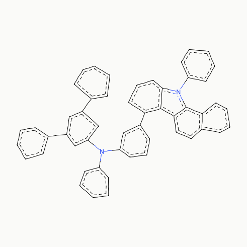 c1ccc(-c2cc(-c3ccccc3)cc(N(c3ccccc3)c3cccc(-c4cccc5c4c4ccc6ccccc6c4n5-c4ccccc4)c3)c2)cc1